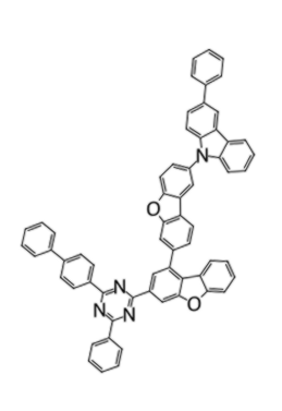 c1ccc(-c2ccc(-c3nc(-c4ccccc4)nc(-c4cc(-c5ccc6c(c5)oc5ccc(-n7c8ccccc8c8cc(-c9ccccc9)ccc87)cc56)c5c(c4)oc4ccccc45)n3)cc2)cc1